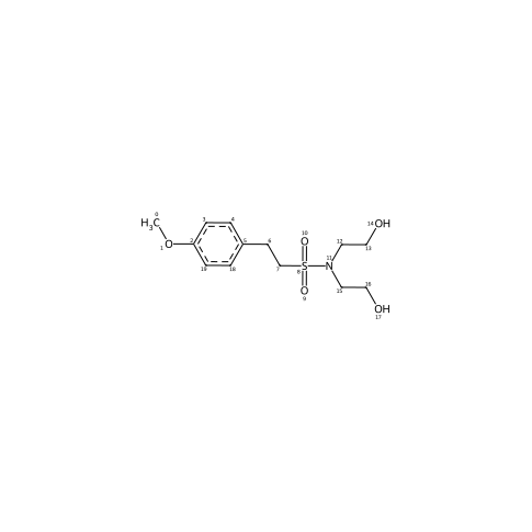 COc1ccc(CCS(=O)(=O)N(CCO)CCO)cc1